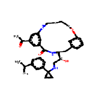 CC(=O)c1cc2cc(c1)C(=O)N[C@H]([C@H](O)CNC1(c3cccc(C(C)C)c3)CC1)Cc1cccc(c1)OCCCCN2